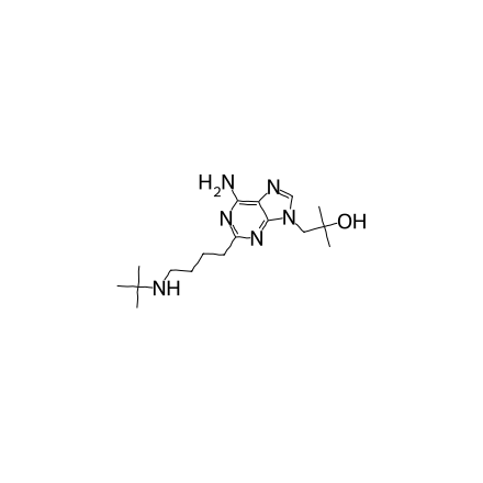 CC(C)(O)Cn1cnc2c(N)nc(CCCCNC(C)(C)C)nc21